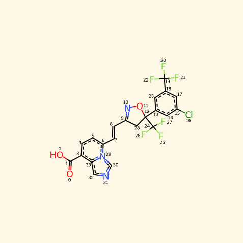 O=C(O)c1ccc(C=CC2=NOC(c3cc(Cl)cc(C(F)(F)F)c3)(C(F)(F)F)C2)n2cncc12